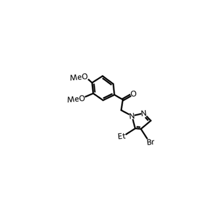 CCc1c(Br)cnn1CC(=O)c1ccc(OC)c(OC)c1